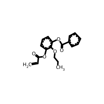 C=CC(=O)Oc1cccc(OC(=O)c2ccccc2)c1OCCC